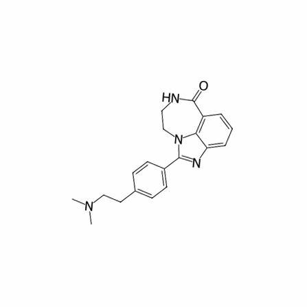 CN(C)CCc1ccc(-c2nc3cccc4c3n2CCNC4=O)cc1